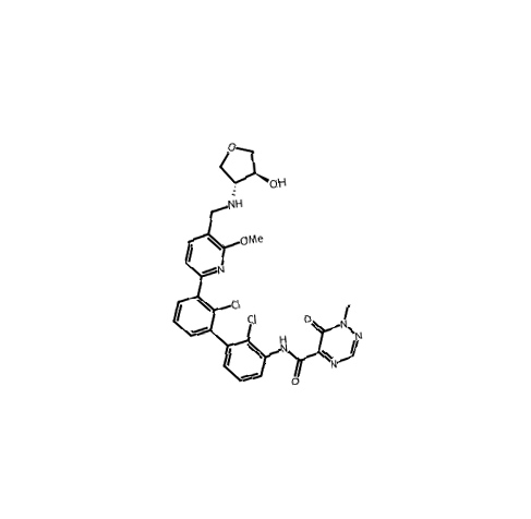 COc1nc(-c2cccc(-c3cccc(NC(=O)c4ncnn(C)c4=O)c3Cl)c2Cl)ccc1CN[C@@H]1COC[C@H]1O